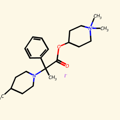 CC1CCN(C(C)(C(=O)OC2CC[N+](C)(C)CC2)c2ccccc2)CC1.[I-]